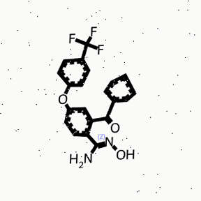 N/C(=N\O)c1ccc(Oc2ccc(C(F)(F)F)cc2)cc1C(=O)c1ccccc1